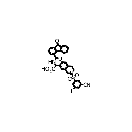 N#Cc1cc(F)cc(S(=O)(=O)N2CCc3ccc(C(NC(=O)c4cccc5c4-c4ccccc4C5=O)C(=O)O)cc3C2)c1